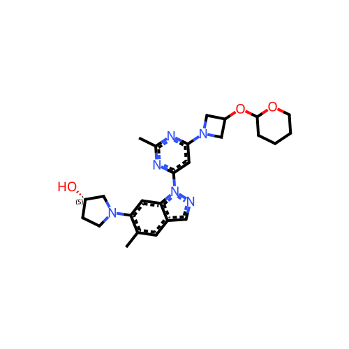 Cc1nc(N2CC(OC3CCCCO3)C2)cc(-n2ncc3cc(C)c(N4CC[C@H](O)C4)cc32)n1